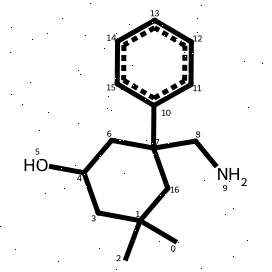 CC1(C)CC(O)CC(CN)(c2ccccc2)C1